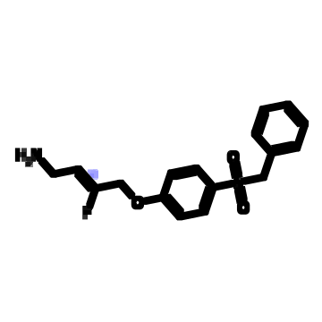 NC/C=C(\F)COc1ccc(S(=O)(=O)Cc2ccccc2)cc1